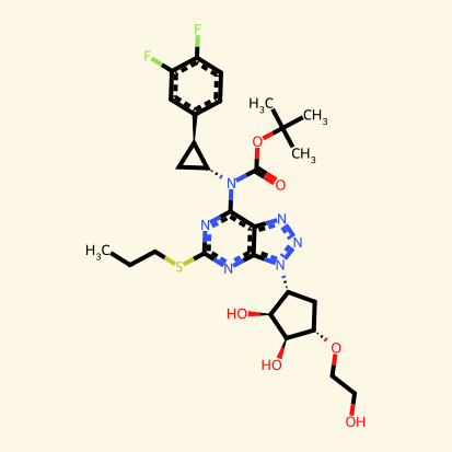 CCCSc1nc(N(C(=O)OC(C)(C)C)[C@@H]2C[C@H]2c2ccc(F)c(F)c2)c2nnn([C@@H]3C[C@H](OCCO)[C@@H](O)[C@H]3O)c2n1